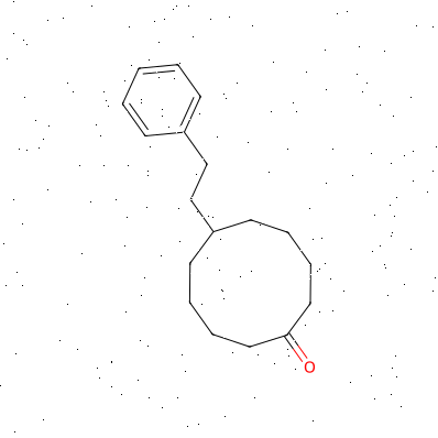 O=C1CCCCC(CCc2ccccc2)CCCC1